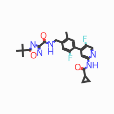 Cc1cc(-c2cc(NC(=O)C3CC3)ncc2F)c(F)cc1CNC(=O)c1noc(C(C)(C)C)n1